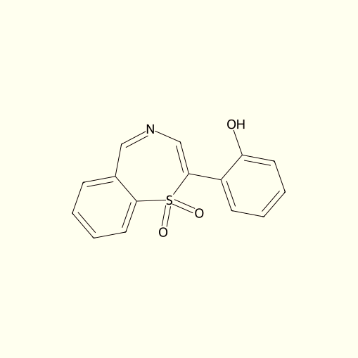 O=S1(=O)C(c2ccccc2O)=CN=Cc2ccccc21